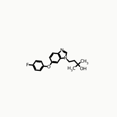 CC(C)(O)CCn1cnc2ccc(Oc3ccc(F)cc3)cc21